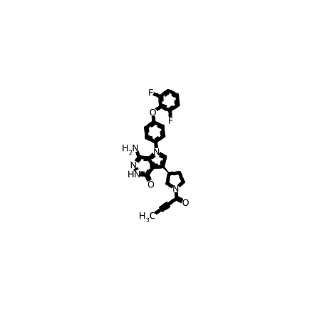 CC#CC(=O)N1CC[C@H](c2cn(-c3ccc(Oc4c(F)cccc4F)cc3)c3c(N)n[nH]c(=O)c23)C1